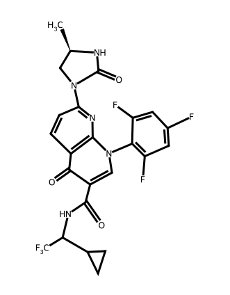 C[C@@H]1CN(c2ccc3c(=O)c(C(=O)NC(C4CC4)C(F)(F)F)cn(-c4c(F)cc(F)cc4F)c3n2)C(=O)N1